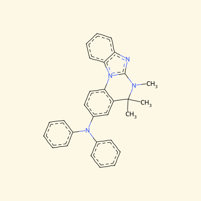 CN1c2nc3ccccc3n2-c2ccc(N(c3ccccc3)c3ccccc3)cc2C1(C)C